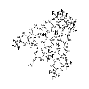 N#Cc1ccc(-c2cc(-n3c4cc(-c5ccc(C(F)(F)F)cc5C(F)(F)F)ccc4c4ccc(-c5ccc(C(F)(F)F)cc5C(F)(F)F)cc43)c(C#N)c(-n3c4cc(-c5ccc(C(F)(F)F)cc5C(F)(F)F)ccc4c4ccc(-c5ccc(C(F)(F)F)cc5C(F)(F)F)cc43)c2)c(C(F)(F)F)c1